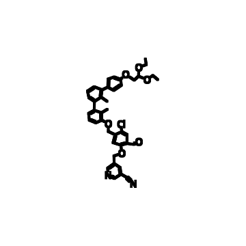 CCOC(COc1ccc(-c2cccc(-c3cccc(OCc4cc(OCc5cncc(C#N)c5)c(C=O)cc4Cl)c3C)c2C)cc1)OCC